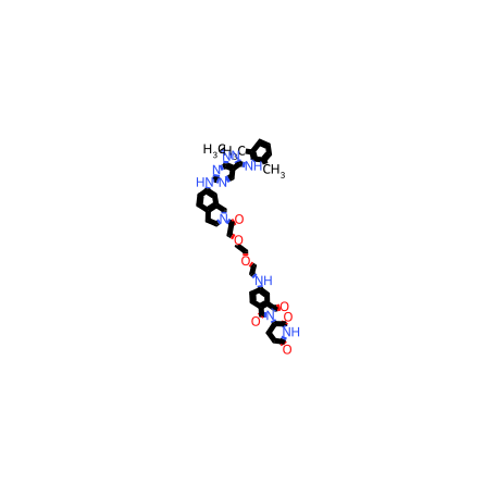 Cc1cccc(C)c1Nc1nn(C)c2nc(Nc3ccc4c(c3)CN(C(=O)COCCOCCNc3ccc5c(c3)C(=O)N(C3CCC(=O)NC3=O)C5=O)CC4)ncc12